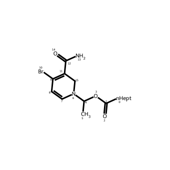 CCCCCCCC(=O)OC(C)N1C=CC(Br)=C(C(N)=O)C1